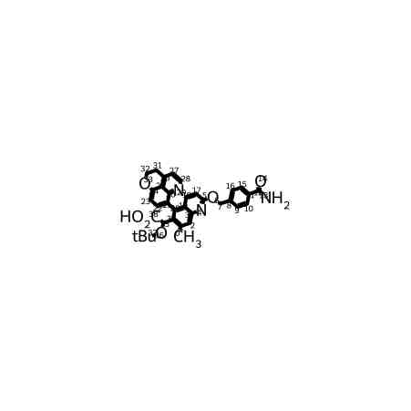 Cc1cc2nc(OCc3ccc(C(N)=O)cc3)ccc2c(-c2ccc3c4c(ccnc24)CCO3)c1C(OC(C)(C)C)C(=O)O